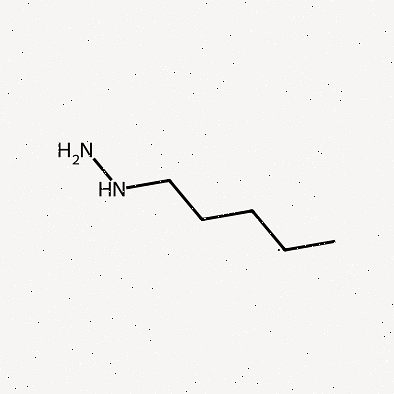 C[CH]CCCNN